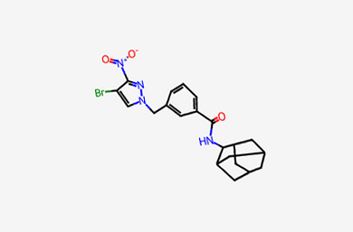 O=C(NC1C2CC3CC(C2)CC1C3)c1cccc(Cn2cc(Br)c([N+](=O)[O-])n2)c1